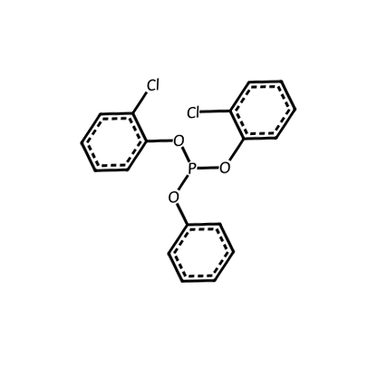 Clc1ccccc1OP(Oc1ccccc1)Oc1ccccc1Cl